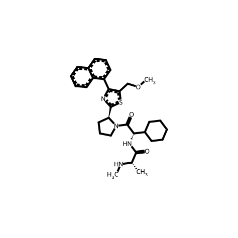 CN[C@@H](C)C(=O)N[C@H](C(=O)N1CCC[C@H]1c1nc(-c2cccc3ccccc23)c(COC)s1)C1CCCCC1